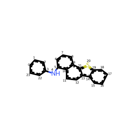 c1ccc(Nc2cccc3c2ccc2c4ccccc4sc32)cc1